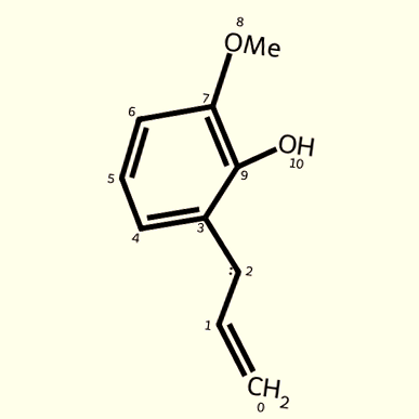 C=C[C]c1cccc(OC)c1O